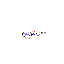 CC(C)(C)c1ccc(NC(=O)C2=CCN(c3ncccc3[N+](=O)[O-])CC2)cc1